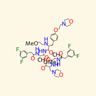 COC(=O)C(CN1CCOCC1)NC(=O)[C@H](C)NC(=O)Cc1cc(F)cc(F)c1.COCCN[C@@H](Cc1ccc(OCCN2CCOCC2)cc1)C(=O)NC(=O)[C@H](C)NC(=O)Cc1cc(F)cc(F)c1